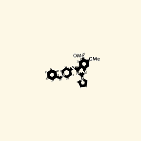 COc1cc2nc(N3CCCC3)nc(SC3CCN(Cc4ccccc4)CC3)c2cc1OC